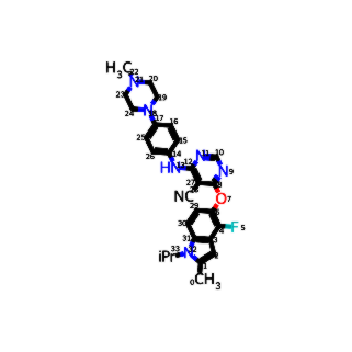 Cc1cc2c(F)c(Oc3ncnc(Nc4ccc(N5CCN(C)CC5)cc4)c3C#N)ccc2n1C(C)C